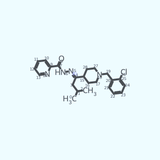 CC(C)C/C(=N\NC(=O)c1ccccn1)C1CCN(Cc2ccccc2Cl)CC1